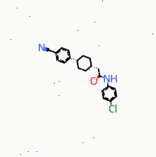 N#Cc1ccc([C@H]2CC[C@@H](CC(=O)Nc3ccc(Cl)cc3)CC2)cc1